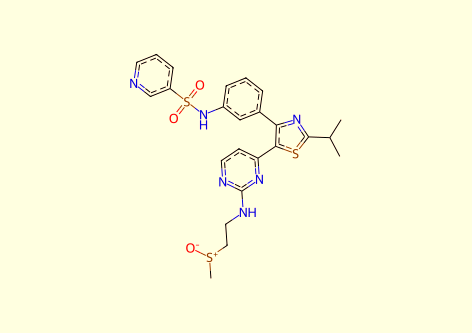 CC(C)c1nc(-c2cccc(NS(=O)(=O)c3cccnc3)c2)c(-c2ccnc(NCC[S+](C)[O-])n2)s1